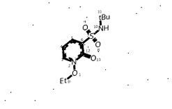 CCOn1cccc(S(=O)(=O)NC(C)(C)C)c1=O